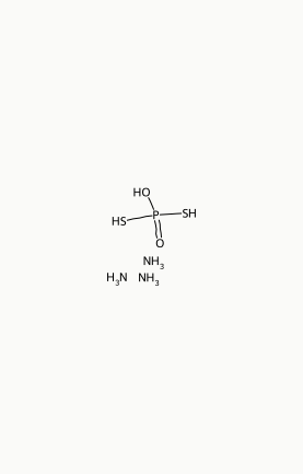 N.N.N.O=P(O)(S)S